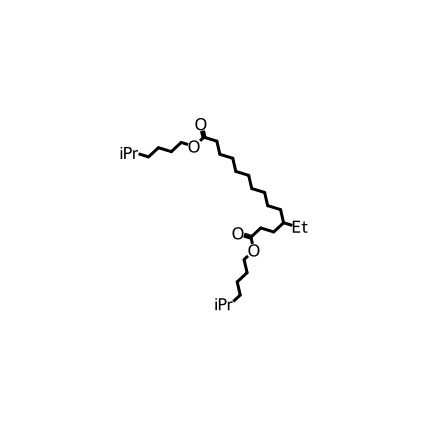 CCC(CCCCCCCCCC(=O)OCCCCC(C)C)CCC(=O)OCCCCC(C)C